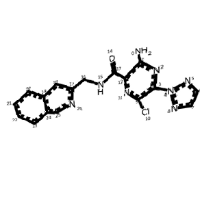 Nc1nc(-n2nccn2)c(Cl)nc1C(=O)NCc1cc2ccccc2cn1